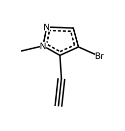 C#Cc1c(Br)cnn1C